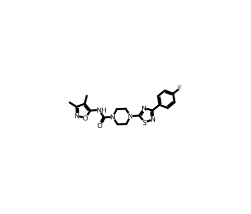 Cc1noc(NC(=O)N2CCN(c3nc(-c4ccc(F)cc4)ns3)CC2)c1C